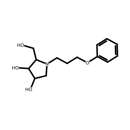 OCC1C(O)C(O)CN1CCCOc1ccccc1